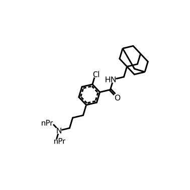 CCCN(CCC)CCCc1ccc(Cl)c(C(=O)NCC23CC4CC(CC(C4)C2)C3)c1